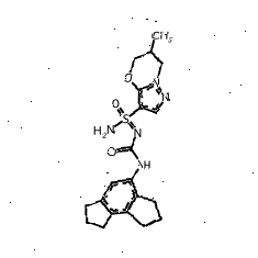 CC1COc2c(S(N)(=O)=NC(=O)Nc3cc4c(c5c3CCC5)CCC4)cnn2C1